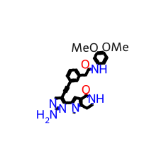 COc1ccc(NC(=O)Cc2cccc(C#Cc3cnc(N)nc3-c3cc4c(n3C)CCNC4=O)c2)cc1OC